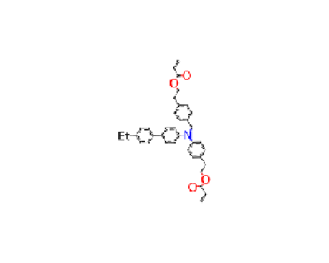 C=CC(=O)OCCc1ccc(CN(c2ccc(CCOC(=O)C=C)cc2)c2ccc(-c3ccc(CC)cc3)cc2)cc1